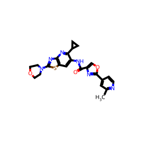 Cc1cc(-c2nc(C(=O)Nc3cc4sc(N5CCOCC5)nc4nc3C3CC3)co2)ccn1